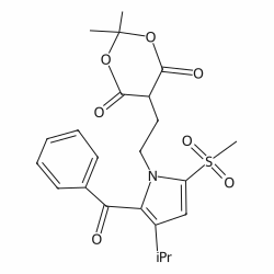 CC(C)c1cc(S(C)(=O)=O)n(CCC2C(=O)OC(C)(C)OC2=O)c1C(=O)c1ccccc1